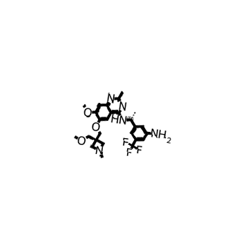 COCC1(COc2cc3c(N[C@H](C)c4cc(N)cc(C(F)(F)F)c4)nc(C)nc3cc2OC)CN(C)C1